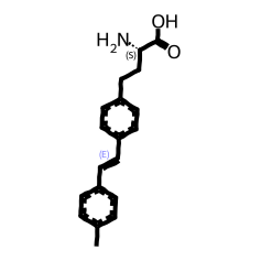 Cc1ccc(/C=C/c2ccc(CC[C@H](N)C(=O)O)cc2)cc1